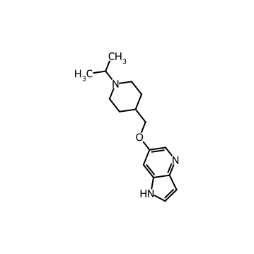 CC(C)N1CCC(COc2cnc3cc[nH]c3c2)CC1